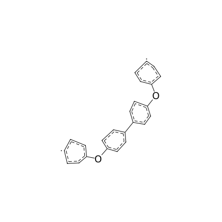 [c]1ccc(Oc2ccc(-c3ccc(Oc4cc[c]cc4)cc3)cc2)cc1